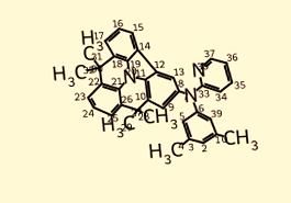 Cc1cc(C)cc(N(c2cc3c4c(c2)c2cccc5c2n4-c2c(cccc2C3(C)C)C5(C)C)c2ccccn2)c1